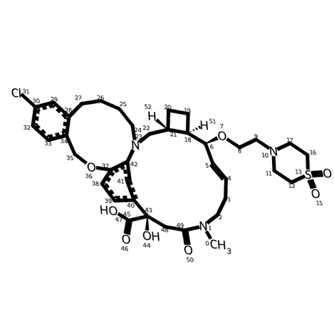 CN1CC/C=C/[C@H](OCCN2CCS(=O)(=O)CC2)[C@@H]2CC[C@H]2CN2CCCCc3cc(Cl)ccc3COc3ccc(cc32)[C@@](O)(C(=O)O)CC1=O